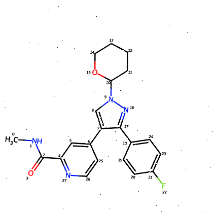 CNC(=O)c1cc(-c2cn(C3CCCCO3)nc2-c2ccc(F)cc2)ccn1